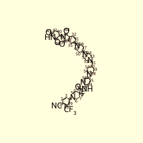 N#Cc1ccc(N2CCC(F)(C(=O)Nc3ccc(N4CCC(CN5CCN(C6CCN(c7ccc8c(c7)C(=O)N(C7CCC(=O)NC7=O)C8=O)CC6)CC5)CC4)cn3)CC2)cc1C(F)(F)F